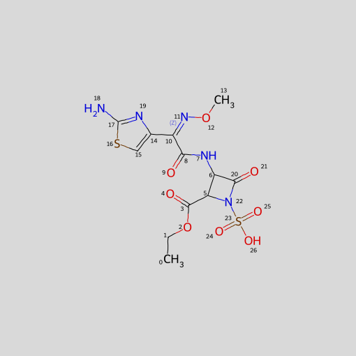 CCOC(=O)C1C(NC(=O)/C(=N\OC)c2csc(N)n2)C(=O)N1S(=O)(=O)O